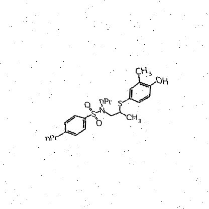 CCCc1ccc(S(=O)(=O)N(CCC)CC(C)Sc2ccc(O)c(C)c2)cc1